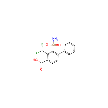 NS(=O)(=O)c1c(-c2ccccc2)ccc(C(=O)O)c1C(F)F